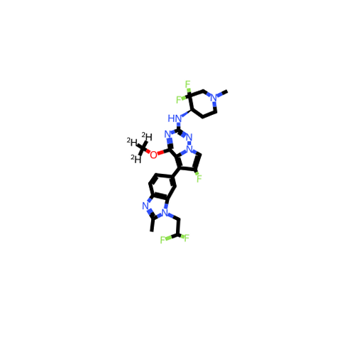 [2H]C([2H])([2H])Oc1nc(N[C@@H]2CCN(C)CC2(F)F)nn2cc(F)c(-c3ccc4nc(C)n(CC(F)F)c4c3)c12